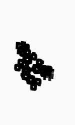 COc1cc2c(cc1OC)-c1c(-c3ccc(OS(=O)(=O)C(F)(F)F)c(OC)c3)c3c4cc(OC)c(OS(=O)(=O)C(F)(F)F)cc4oc(=O)c3n1CC2